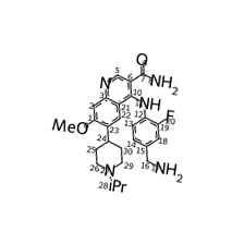 COc1cc2ncc(C(N)=O)c(Nc3ccc(CN)cc3F)c2cc1C1CCN(C(C)C)CC1